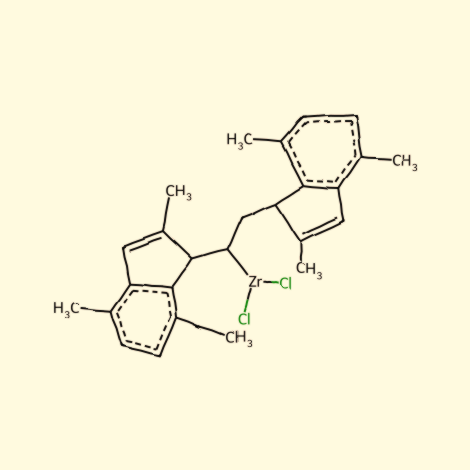 CC1=Cc2c(C)ccc(C)c2C1C[CH](C1C(C)=Cc2c(C)ccc(C)c21)[Zr]([Cl])[Cl]